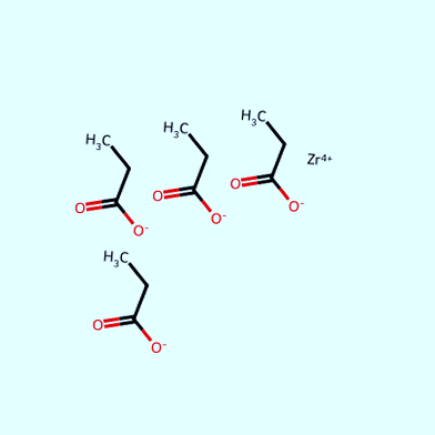 CCC(=O)[O-].CCC(=O)[O-].CCC(=O)[O-].CCC(=O)[O-].[Zr+4]